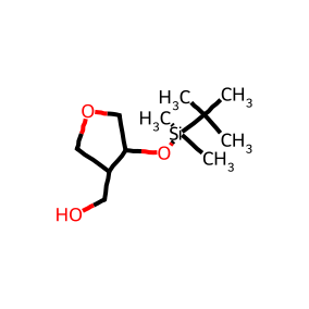 CC(C)(C)[Si](C)(C)OC1COCC1CO